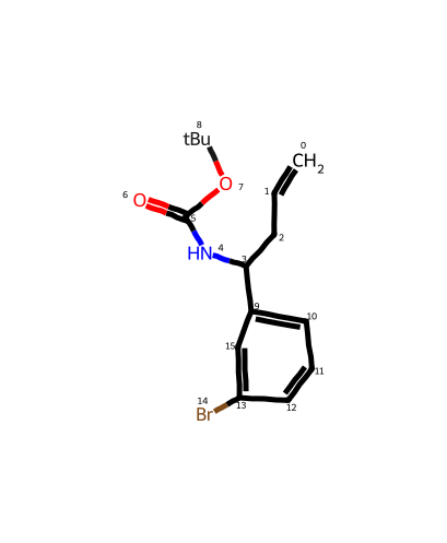 C=CCC(NC(=O)OC(C)(C)C)c1cccc(Br)c1